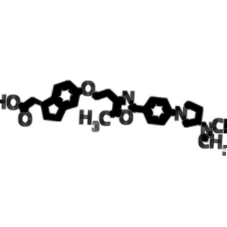 Cc1oc(-c2ccc(N3CC[C@H](N(C)C)C3)cc2)nc1CCOc1ccc2c(c1)CC[C@H]2CC(=O)O